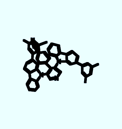 Cc1cc(C)cc(-c2ccc3c4ccccc4n(-c4cncc(-n5c6ccccc6c6ccc(-c7cc(C)cc(C)c7)cc65)c4-c4ccc(C#N)cc4)c3c2)c1